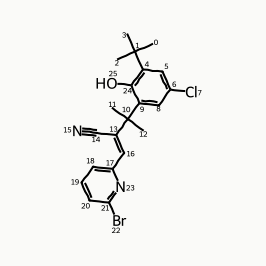 CC(C)(C)c1cc(Cl)cc(C(C)(C)/C(C#N)=C/c2cccc(Br)n2)c1O